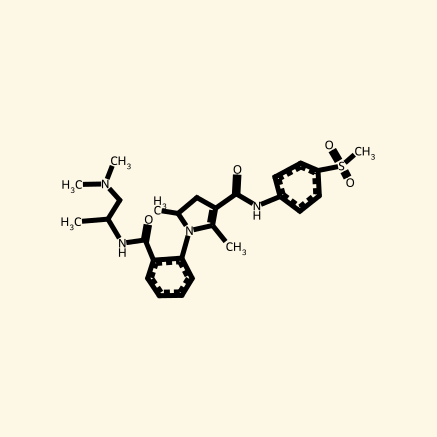 CC1=C(C(=O)Nc2ccc(S(C)(=O)=O)cc2)CC(C)N1c1ccccc1C(=O)NC(C)CN(C)C